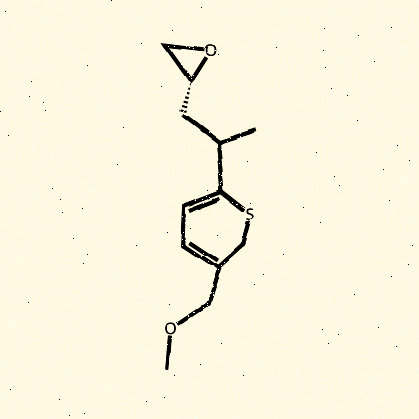 COCC1=CC=C(C(C)C[C@@H]2CO2)SC1